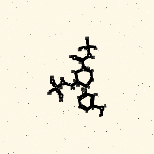 COc1cccc([C@H]2CCN(C(=O)OC(C)(C)C)C[C@@H]2COS(C)(=O)=O)c1